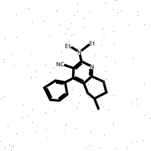 CCN(CC)c1nc2c(c(-c3ccccc3)c1C#N)CC(C)CC2